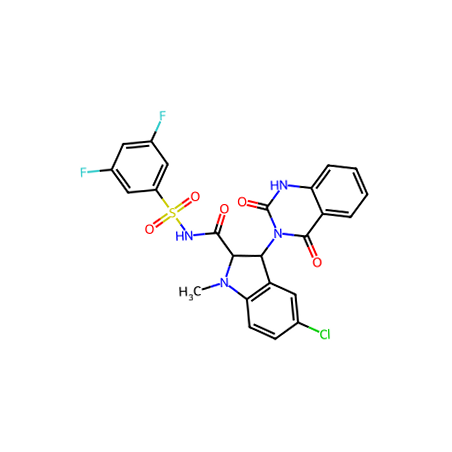 CN1c2ccc(Cl)cc2C(n2c(=O)[nH]c3ccccc3c2=O)C1C(=O)NS(=O)(=O)c1cc(F)cc(F)c1